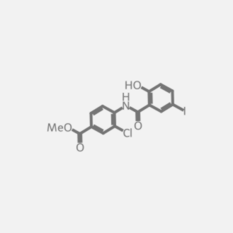 COC(=O)c1ccc(NC(=O)c2cc(I)ccc2O)c(Cl)c1